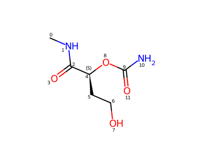 CNC(=O)[C@H](CCO)OC(N)=O